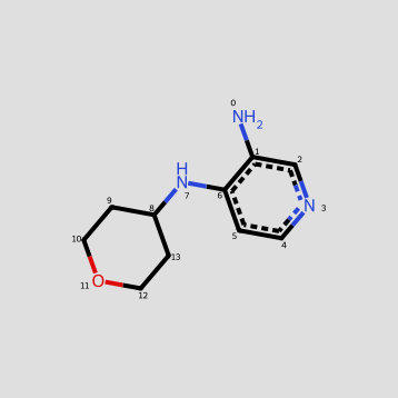 Nc1cnccc1NC1CCOCC1